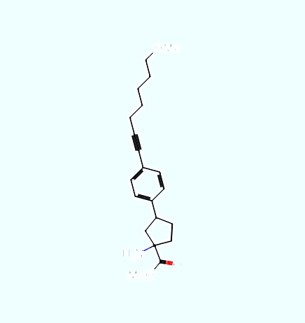 COCCCCCC#Cc1ccc(C2CCC(N)(C(=O)OC)C2)cc1